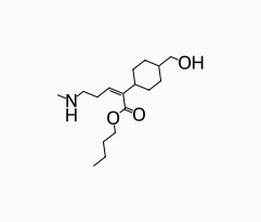 CCCCOC(=O)C(=CCCNC)C1CCC(CO)CC1